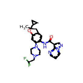 CC1(C2CC2)Cc2cc(NC(=O)c3cnn4cccnc34)c(N3CCN(CC(F)F)CC3)cc2O1